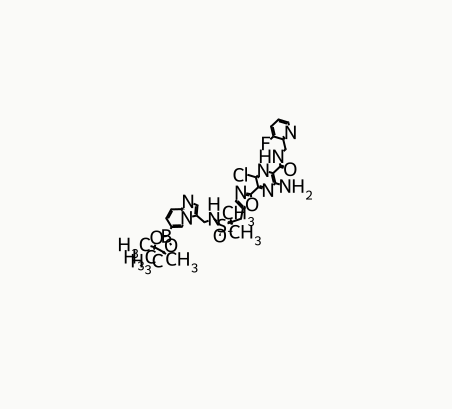 CC(C)(Cc1cnc(-c2nc(N)c(C(=O)NCc3ncccc3F)nc2Cl)o1)[S@@+]([O-])NCc1cnc2ccc(B3OC(C)(C)C(C)(C)O3)cn12